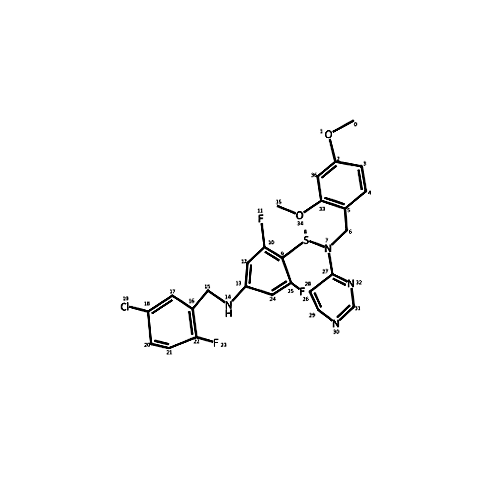 COc1ccc(CN(Sc2c(F)cc(NCc3cc(Cl)ccc3F)cc2F)c2ccncn2)c(OC)c1